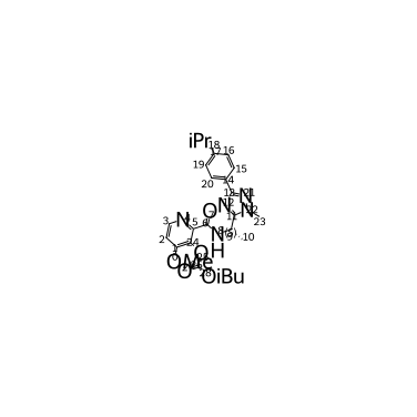 COc1ccnc(C(=O)N[C@@H](C)c2nc(-c3ccc(C(C)C)cc3)nn2C)c1OC(=O)OCC(C)C